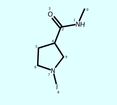 CNC(=O)C1CCN(I)C1